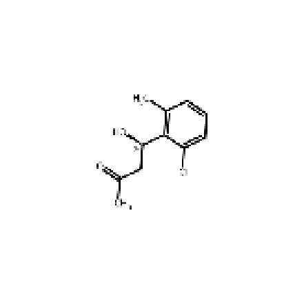 CC(=O)C[C@@H](O)c1c(C)cccc1Cl